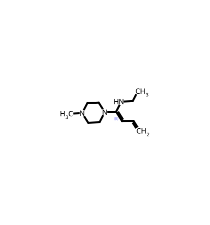 C=C/C=C(\NCC)N1CCN(C)CC1